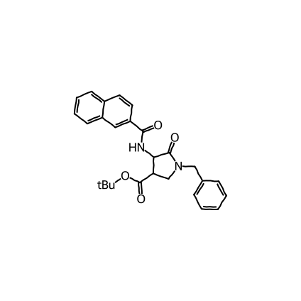 CC(C)(C)OC(=O)C1CN(Cc2ccccc2)C(=O)C1NC(=O)c1ccc2ccccc2c1